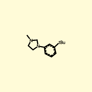 CN1CCN(c2cccc(C(C)(C)C)c2)C1